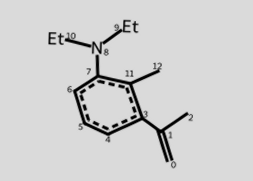 C=C(C)c1cccc(N(CC)CC)c1C